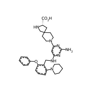 Nc1nc(NCc2c(Oc3ccccc3)cccc2N2CCCCC2)cc(N2CCC3(CC2)CN[C@H](C(=O)O)C3)n1